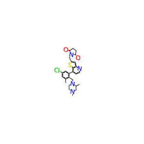 Cc1cc(Cl)cc(-c2ccnc3cc(CN4C(=O)CCC4=O)sc23)c1CN1CCN(C)CC1C